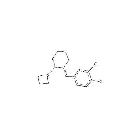 Clc1ccc(C=C2CCCCC2N2CCC2)cc1Cl